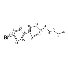 CCCCCC1C=CC(c2ccc(Br)cc2)=CC1